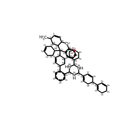 CC1C=CC2Oc3ccccc3C(C3C=CC(c4ccccc4C4NC(C5=CCC(C6=CCCC=C6)C=C5)NC(C5CCCCC5)N4)CC3)(C3CC=CCC3)C2C1